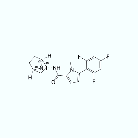 Cn1c(C(=O)N[C@@H]2C[C@H]3CC[C@@H]2N3)ccc1-c1c(F)cc(F)cc1F